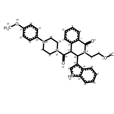 COCCN1C(=O)c2ccccc2C(C(=O)N2CCN(c3ccc(OC)cc3)CC2)C1c1c[nH]c2ccccc12